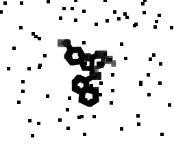 CC[C@@](Cc1ccc(O)cc1)(Nc1cccc2cccnc12)C(=O)O